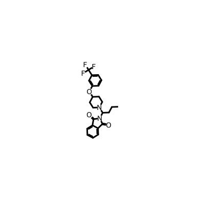 CCCC(N1CCC(Oc2cccc(C(F)(F)F)c2)CC1)N1C(=O)c2ccccc2C1=O